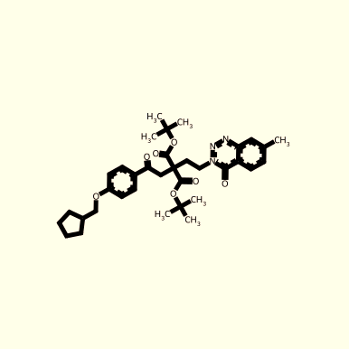 Cc1ccc2c(=O)n(CCC(CC(=O)c3ccc(OCC4CCCC4)cc3)(C(=O)OC(C)(C)C)C(=O)OC(C)(C)C)nnc2c1